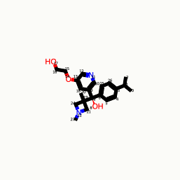 CC(C)c1ccc([C@](O)(c2cncc(OCCO)c2)C2(C)CN(C)C2)cc1